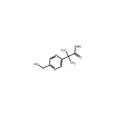 COC(=O)C(C)(C)c1cnc(CO)cn1